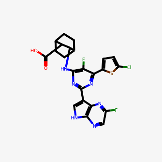 O=C(O)C1C2CCC(CC2)C1Nc1nc(-c2c[nH]c3ncc(F)nc23)nc(-c2ccc(Cl)s2)c1F